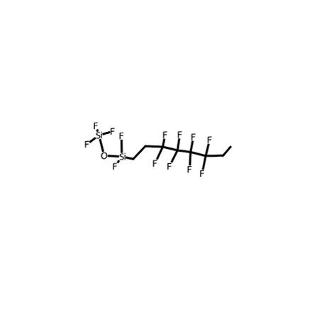 CCC(F)(F)C(F)(F)C(F)(F)C(F)(F)CC[Si](F)(F)O[Si](F)(F)F